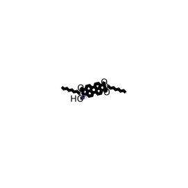 CCCCCCCCN1C(=O)c2ccc3c4ccc5c(=O)n(CCCCCCCC)/c(=C\O)c6ccc(c7ccc(c2c37)C1=O)c4c56